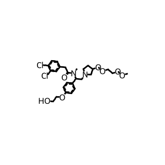 COOCCOOC1CCN(CC(c2ccc(OCCO)cc2)N(C)C(=O)Cc2ccc(Cl)c(Cl)c2)C1